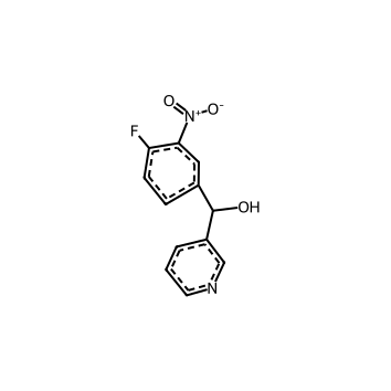 O=[N+]([O-])c1cc(C(O)c2cccnc2)ccc1F